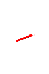 O=C=NCCCCCCCCCCCCCCCCCCCCCCCCCCCCCCCCCCCCOP(=O)(O)O